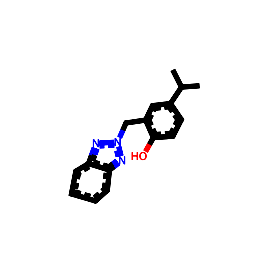 CC(C)c1ccc(O)c(Cn2nc3ccccc3n2)c1